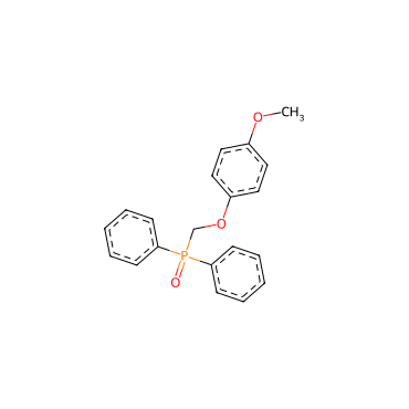 COc1ccc(OCP(=O)(c2ccccc2)c2ccccc2)cc1